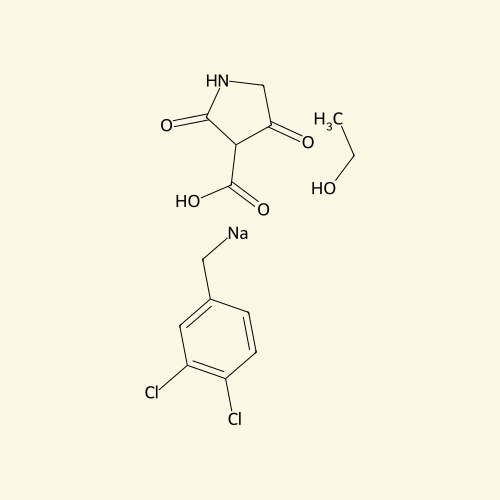 CCO.O=C(O)C1C(=O)CNC1=O.[Na][CH2]c1ccc(Cl)c(Cl)c1